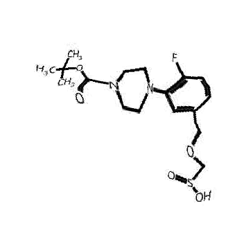 CC(C)(C)OC(=O)N1CCN(c2cc(COCS(=O)O)ccc2F)CC1